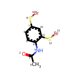 CC(=O)Nc1ccc(SBr)cc1SBr